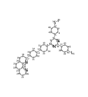 ISc1ccc(-c2cc(-c3ccc(-c4ccc(-c5ccc6ccc7cccnc7c6n5)cc4)cc3)nc(-c3ccc(I)cc3)n2)cc1